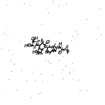 O=C(Nc1cn2cc(-c3c(Cl)c(F)c(N4C[C@H](O)[C@@H](O)C4)c4[nH]ncc34)ncc2n1)C1CC1F